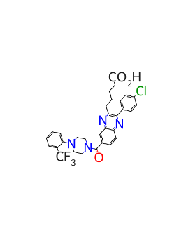 O=C(O)CCCCc1nc2cc(C(=O)N3CCN(c4ccccc4C(F)(F)F)CC3)ccc2nc1-c1ccc(Cl)cc1